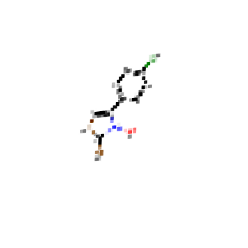 ON1C(c2ccc(Cl)cc2)=CSC1S